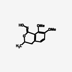 COc1ccc2c(c1OC)C(=NO)OC(C)[CH]2